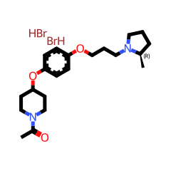 Br.Br.CC(=O)N1CCC(Oc2ccc(OCCCN3CCC[C@H]3C)cc2)CC1